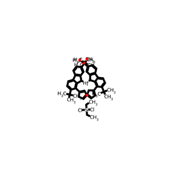 CC(C)(C)c1ccc2c(c1)[CH]([Hf][CH]1c3cc(C(C)(C)C)ccc3-c3ccc(C(C)(C)C)c(C4=CC=CC4)c31)c1c-2ccc(C(C)(C)C)c1C1=CC=CC1.CC[Si](Cl)(Cl)CC